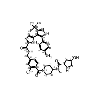 CN(C(=O)[C@@H]1C[C@@H](O)CN1)C1CCN(C(=O)c2ccc(CNC(=O)c3ncc(-c4c(C(F)(F)F)n[nH]c4-c4ccc(N)cn4)[nH]3)cc2Cl)CC1